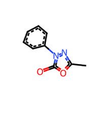 Cc1nn(-c2ccccc2)c(=O)o1